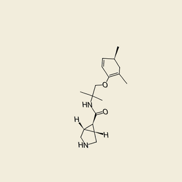 CC1=C(OCC(C)(C)NC(=O)[C@H]2[C@@H]3CNC[C@@H]32)C=C[C@@H](C)C1